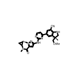 COC[C@@]1(C)CNc2c(C#N)cc(-c3ccnc(Nc4cc(C(=O)N(C)C5CC5)n(C(C)C)n4)n3)cc21